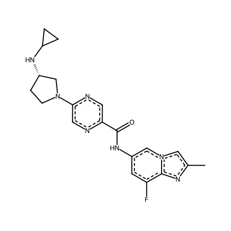 Cc1cn2cc(NC(=O)c3cnc(N4CC[C@H](NC5CC5)C4)cn3)cc(F)c2n1